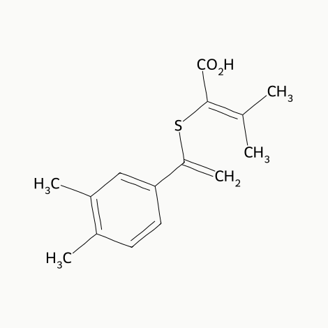 C=C(SC(C(=O)O)=C(C)C)c1ccc(C)c(C)c1